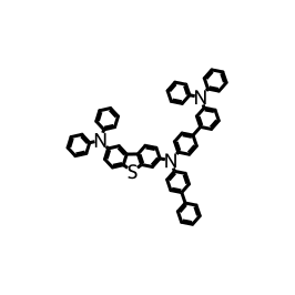 c1ccc(-c2ccc(N(c3ccc(-c4cccc(N(c5ccccc5)c5ccccc5)c4)cc3)c3ccc4c(c3)sc3ccc(N(c5ccccc5)c5ccccc5)cc34)cc2)cc1